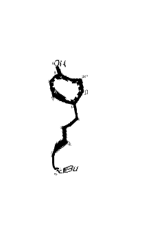 CC(C)(C)CCCCc1ccc(O)cc1